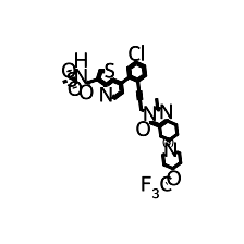 Cc1nc2c(c(=O)n1CC#Cc1ccc(Cl)cc1-c1ccnc3c(C(=O)NS(C)(=O)=O)csc13)C[C@@H](N1CCC(OC(F)(F)F)CC1)CC2